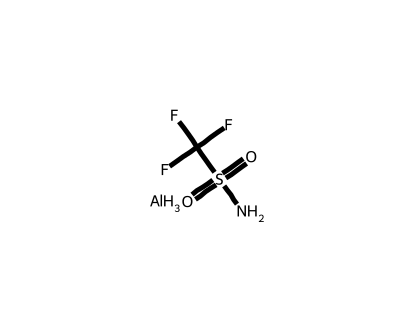 NS(=O)(=O)C(F)(F)F.[AlH3]